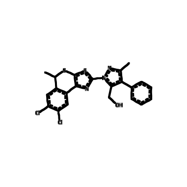 Cc1nn(-c2nc3c(s2)SC(C)c2cc(Cl)c(Cl)cc2-3)c(CO)c1-c1ccccc1